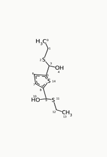 CCSC(O)c1ccc(C(O)SCC)s1